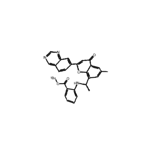 Cc1cc(C(C)Nc2ccccc2C(=O)OC(C)(C)C)c2oc(-c3ccc4cncnc4c3)cc(=O)c2c1